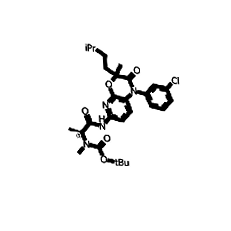 CC(C)CCC1(C)Oc2nc(NC(=O)[C@H](C)N(C)C(=O)OC(C)(C)C)ccc2N(c2cccc(Cl)c2)C1=O